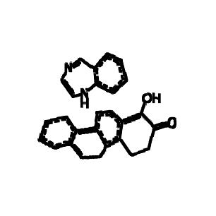 C1=CNc2ccccc2C=N1.O=C1CCc2c3c(ccc2=C1O)=c1ccccc1=CC3